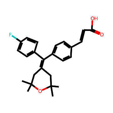 CC1(C)CC(=C(c2ccc(F)cc2)c2ccc(/C=C/C(=O)O)cc2)CC(C)(C)O1